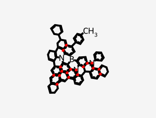 Cc1ccc(-c2ccc3c(c2)B2c4ccc(N(c5ccccc5)c5ccccc5)cc4N(c4c(C5=CCCC(C6=CC=CCC6)=C5)cccc4C4CCC=C(C5=CCCC=C5)C4)c4cc(-c5ccccc5)cc(c42)N3C2=C(C3=CC=CC(C4C=CC=CC4)C3)CCC=C2c2cccc(-c3ccccc3)c2)cc1